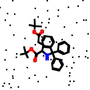 CC(C)(C)OC(=O)CC[C@@H](NC(c1ccccc1)(c1ccccc1)c1ccccc1)C(=O)OC(C)(C)C